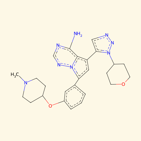 CN1CCC(Oc2cccc(-c3cc(-c4cnnn4C4CCOCC4)c4c(N)ncnn34)c2)CC1